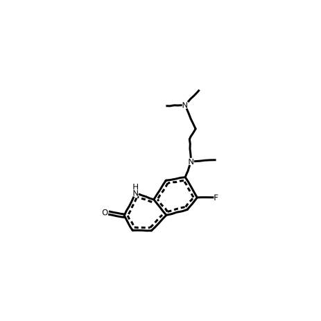 CN(C)CCN(C)c1cc2[nH]c(=O)ccc2cc1F